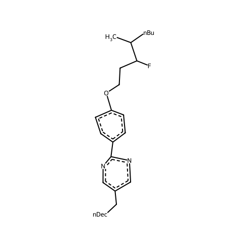 CCCCCCCCCCCc1cnc(-c2ccc(OCCC(F)C(C)CCCC)cc2)nc1